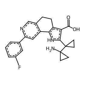 NC1(C2(c3[nH]c4c(c3C(=O)O)CCc3cnc(-c5cccc(F)c5)cc3-4)CC2)CC1